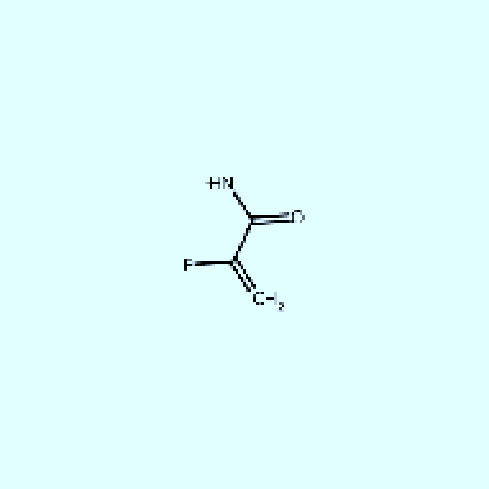 C=C(F)C([NH])=O